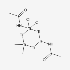 CC(=O)[NH][Ti]1[Ti][Ti]([CH3])([CH3])[Ti][Ti]([Cl])([Cl])([NH]C(C)=O)[Ti]1